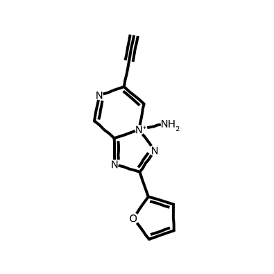 C#CC1=C[N+]2(N)N=C(c3ccco3)N=C2C=N1